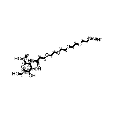 [N-]=[N+]=NCCOCCOCCOCCOCCC(=O)N[C@H]1C(S(=O)O)O[C@H](CO)[C@@H](O)[C@@H]1O